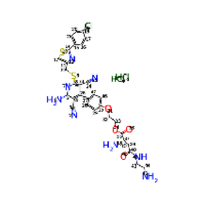 Cl.Cl.N#Cc1c(N)nc(SCc2csc(-c3ccc(Cl)cc3)n2)c(C#N)c1-c1ccc(OCCOC(=O)[C@@H](N)CC(=O)NCCN)cc1